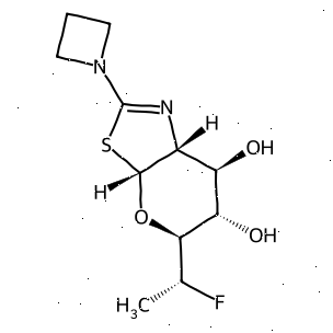 C[C@@H](F)[C@H]1O[C@@H]2SC(N3CCC3)=N[C@@H]2[C@@H](O)[C@@H]1O